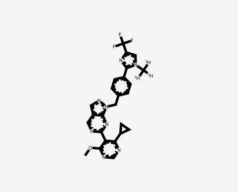 [2H]C([2H])([2H])n1cc(C(F)(F)F)nc1-c1ccc(Cn2ncc3cnc(-c4c(OC)ncnc4C4CC4)nc32)cc1